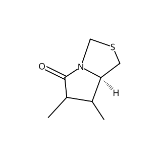 CC1C(=O)N2CSC[C@H]2C1C